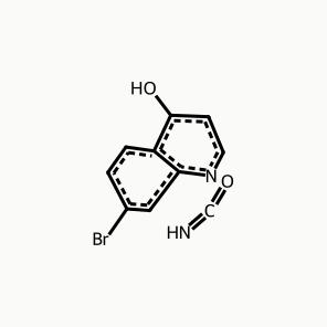 N=C=O.Oc1ccnc2cc(Br)ccc12